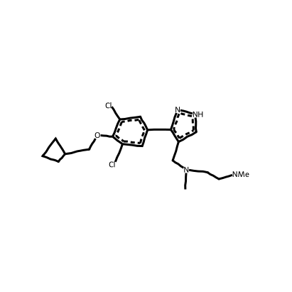 CNCCN(C)Cc1c[nH]nc1-c1cc(Cl)c(OCC2CCC2)c(Cl)c1